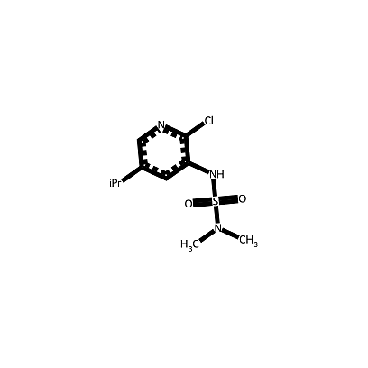 CC(C)c1cnc(Cl)c(NS(=O)(=O)N(C)C)c1